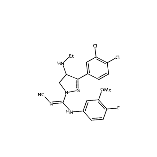 CCNC1CN(/C(=N\C#N)Nc2ccc(F)c(OC)c2)N=C1c1ccc(Cl)c(Cl)c1